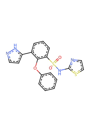 O=S(=O)(Nc1nccs1)c1cccc(-c2ccn[nH]2)c1Oc1ccccc1